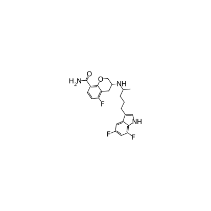 CC(CCCc1c[nH]c2c(F)cc(F)cc12)NC1COc2c(C(N)=O)ccc(F)c2C1